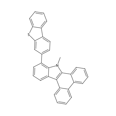 Cn1c2c(-c3ccc4c(c3)sc3ccccc34)cccc2c2c3ccccc3c3ccccc3c21